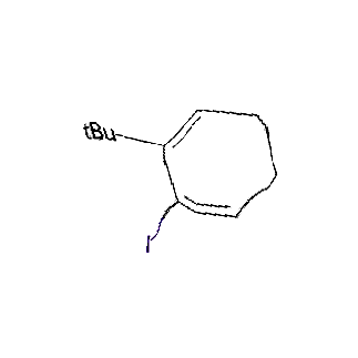 CC(C)(C)C1=CCCC=C1I